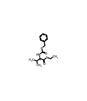 CCSC(=O)[C@H](NC(=O)OCc1ccccc1)C(C)C